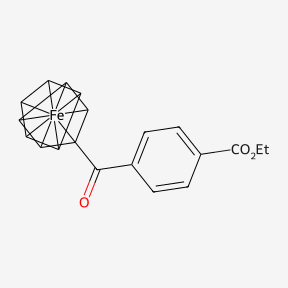 CCOC(=O)c1ccc(C(=O)[C]23[CH]4[CH]5[CH]6[CH]2[Fe]56432789[CH]3[CH]2[CH]7[CH]8[CH]39)cc1